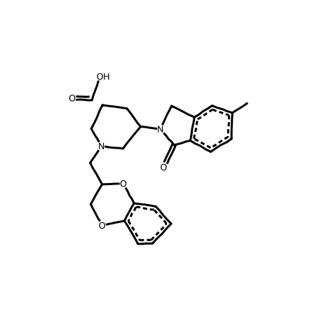 Cc1ccc2c(c1)CN(C1CCCN(CC3COc4ccccc4O3)C1)C2=O.O=CO